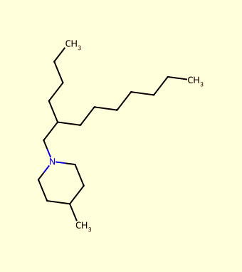 CCCCCCCC(CCCC)CN1CCC(C)CC1